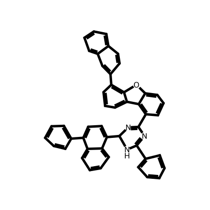 c1ccc(C2=NC(c3cccc4oc5c(-c6ccc7ccccc7c6)cccc5c34)=NC(c3ccc(-c4ccccc4)c4ccccc34)N2)cc1